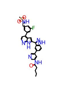 CCCCC(=O)Nc1cncc(-c2ccc3[nH]nc(-c4cc5c(-c6cc(F)cc(CNS(C)(=O)=O)c6)ccnc5[nH]4)c3c2)c1